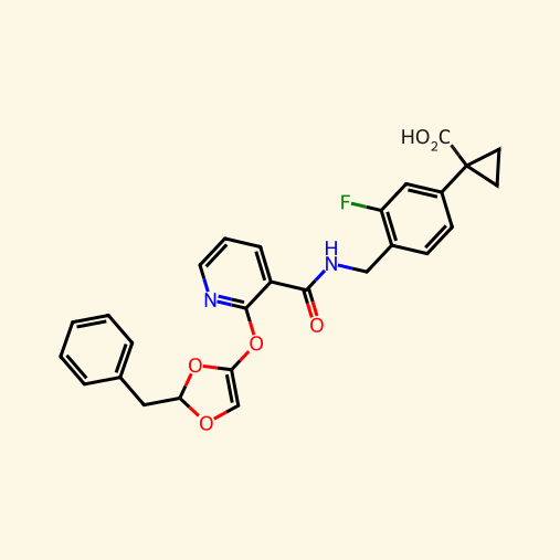 O=C(NCc1ccc(C2(C(=O)O)CC2)cc1F)c1cccnc1OC1=COC(Cc2ccccc2)O1